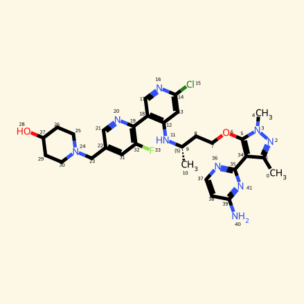 Cc1nn(C)c(OCC[C@H](C)Nc2cc(Cl)ncc2-c2ncc(CN3CCC(O)CC3)cc2F)c1-c1nccc(N)n1